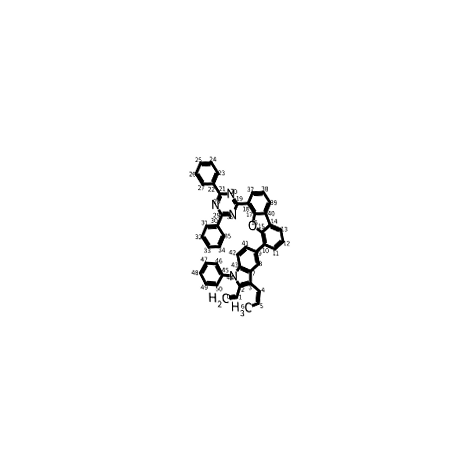 C=Cc1c(/C=C\C)c2cc(-c3cccc4c3oc3c(-c5nc(-c6ccccc6)nc(-c6ccccc6)n5)cccc34)ccc2n1-c1ccccc1